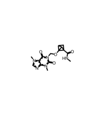 CNC(=O)C12CC(C1)C2OCn1c(=O)c2c(ncn2C)n(C)c1=O